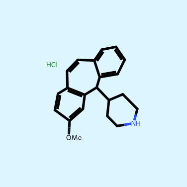 COc1ccc2c(c1)C(C1CCNCC1)c1ccccc1C=C2.Cl